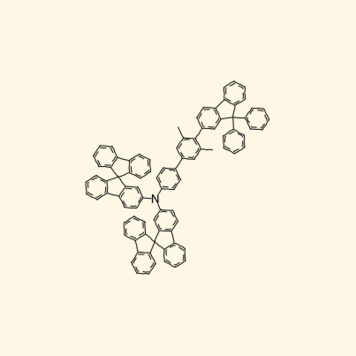 Cc1cc(-c2ccc(N(c3ccc4c(c3)C3(c5ccccc5-c5ccccc53)c3ccccc3-4)c3ccc4c(c3)C3(c5ccccc5-c5ccccc53)c3ccccc3-4)cc2)cc(C)c1-c1ccc2c(c1)C(c1ccccc1)(c1ccccc1)c1ccccc1-2